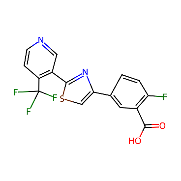 O=C(O)c1cc(-c2csc(-c3cnccc3C(F)(F)F)n2)ccc1F